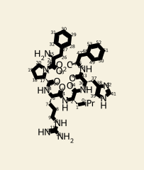 CC(C)C[C@H](NC(=O)[C@H](CCCNC(=N)N)NC(=O)[C@@H]1CCCN1C(=O)[C@@H](N)Cc1ccccc1)C(=O)N[C@@H](Cc1c[nH]cn1)C(=O)N[C@@H](Cc1ccccc1)C(=O)O